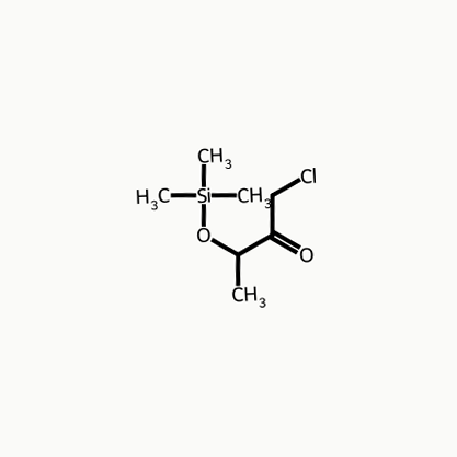 CC(O[Si](C)(C)C)C(=O)CCl